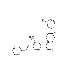 Cc1cc(C(C=O)N2CCC(O)(c3cccc(F)c3)CC2)ccc1OCc1ccccc1